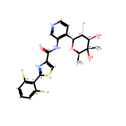 C[C@H]1O[C@@H](c2ccncc2NC(=O)c2csc(-c3c(F)cccc3F)n2)[C@H](F)[C@@H](O)[C@]1(C)O